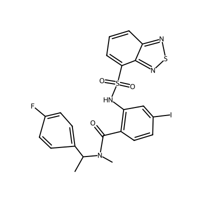 CC(c1ccc(F)cc1)N(C)C(=O)c1ccc(I)cc1NS(=O)(=O)c1cccc2nsnc12